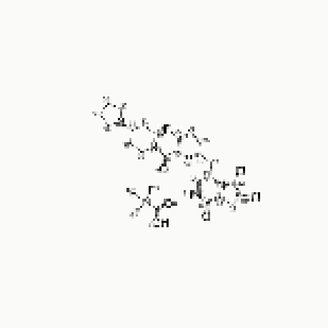 O=C(O)C(F)(F)F.O=C(c1cc(Cc2c[nH]c(=O)c3cc(Cl)c(Cl)n23)ccc1F)N1CCC(N2CCCC2)CC1